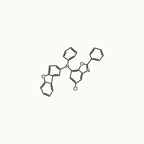 Clc1cc(N(c2ccccc2)c2ccc3oc4ccccc4c3c2)c2oc(-c3ccccc3)nc2c1